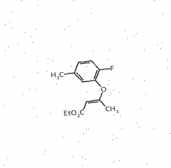 CCOC(=O)C=C(C)Oc1cc(C)ccc1F